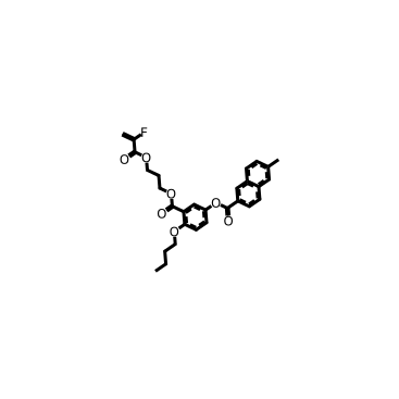 C=C(F)C(=O)OCCCOC(=O)c1cc(OC(=O)c2ccc3cc(C)ccc3c2)ccc1OCCCC